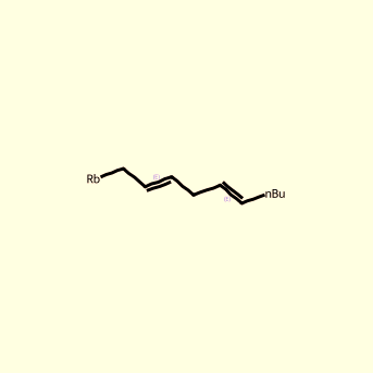 CCCC/C=C/C/C=C/[CH2][Rb]